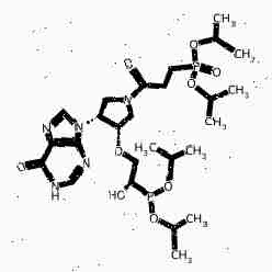 CC(C)OP(OC(C)C)[C@@H](O)CO[C@@H]1CN(C(=O)CCP(=O)(OC(C)C)OC(C)C)C[C@H]1n1cnc2c(=O)[nH]cnc21